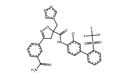 N=C(N)c1cccc(C2=NOC(Cn3cnnn3)(C(=O)Nc3ccc(-c4ccccc4S(=O)(=O)C(F)(F)F)cc3Cl)C2)c1